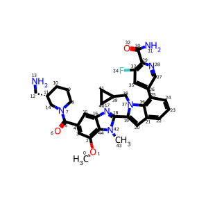 COc1cc(C(=O)N2CCC[C@@H](CN)C2)cc2nc(-c3cc4cccc(-c5cnc(C(N)=O)c(F)c5)c4n3CC3CC3)n(C)c12